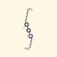 CCCCCCCCc1ccc(-c2ccc(-c3ncc(CCCCCC)cn3)cc2)c(F)c1